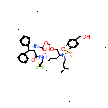 COC(=O)N[C@H](C(=O)N[C@H](CCC[C@@H](CO)N(CCC(C)C)S(=O)(=O)c1ccc(CO)cc1)C(F)(F)F)C(c1ccccc1)c1ccccc1